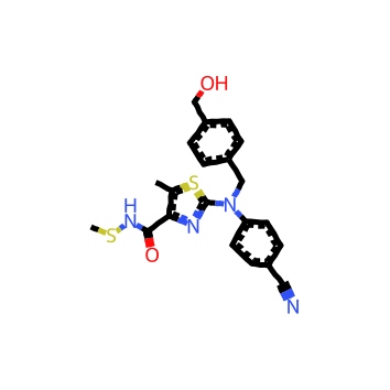 CSNC(=O)c1nc(N(Cc2ccc(CO)cc2)c2ccc(C#N)cc2)sc1C